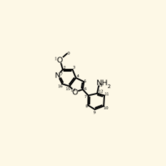 COc1cc2cc(-c3ccccc3N)oc2cn1